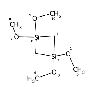 CO[Si]1(OC)C[Si](OC)(OC)C1